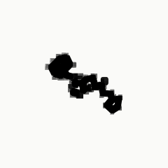 O=C(CCC1CCCC1)N1CCc2c(ncnc2NCC23CC4CC(CC(C4)C2)C3)C1